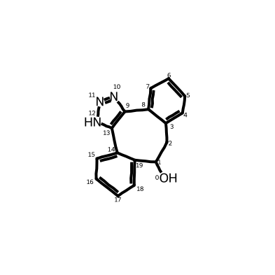 OC1Cc2ccccc2-c2nn[nH]c2-c2ccccc21